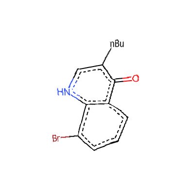 CCCCc1c[nH]c2c(Br)cccc2c1=O